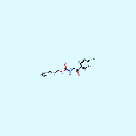 CCCCOC(=O)NCC(=O)c1ccc(F)cc1